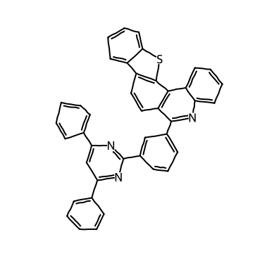 c1ccc(-c2cc(-c3ccccc3)nc(-c3cccc(-c4nc5ccccc5c5c4ccc4c6ccccc6sc45)c3)n2)cc1